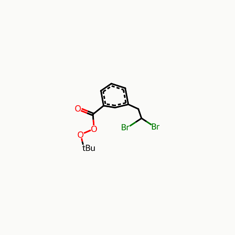 CC(C)(C)OOC(=O)c1cccc(CC(Br)Br)c1